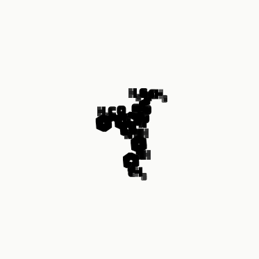 C=C(c1ccccc1)c1cc2cnc(Nc3ccc(NC4CCCN(C)C4)cc3)nc2n(Cc2cnoc2S(=O)(=O)CCN(C)C)c1=O